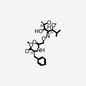 COC(=O)[C@H](Cc1ccccc1)NC(=O)CO/N=C(/[C@@H](OC)C(C)C)[C@@H](O)[C@@H](C)O